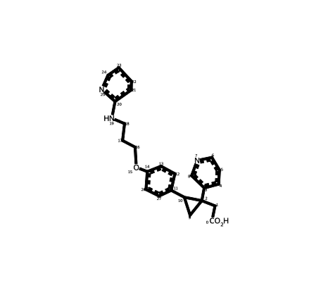 O=C(O)CC1(c2cccnc2)CC1c1ccc(OCCCNc2ccccn2)cc1